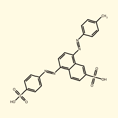 Cc1ccc(N=Nc2ccc(N=Nc3ccc(S(=O)(=O)O)cc3)c3ccc(S(=O)(=O)O)cc23)cc1